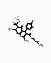 COCCOC(=O)C1=C(C)NC2=C(C(=O)C(C(=O)OC)C(C)C2)C1c1ccc(F)cc1